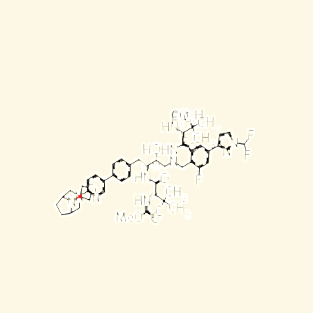 COC(=O)N[C@H](C(=O)N[C@@H](Cc1ccc(-c2ccc(N3CC4CCC(C3)N4C3COC3)nc2)cc1)[C@@H](O)CN(Cc1c(F)cc(-c2ccn(C(F)F)n2)cc1F)NC(=O)[C@@H](NC(=O)O)C(C)(C)C(F)(F)F)C(C)(C)C(F)(F)F